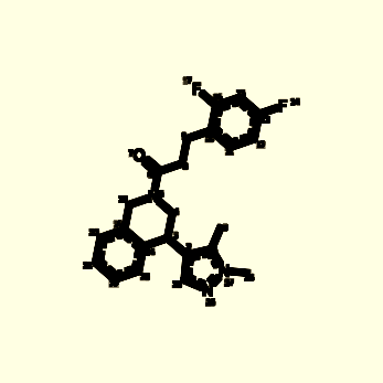 Cc1c(C2CN(C(=O)CCc3ccc(F)cc3F)Cc3ccccc32)cnn1C